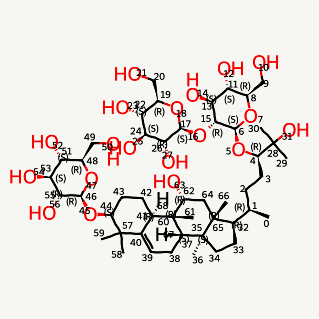 C[C@H](CC[C@@H](O[C@@H]1O[C@H](CO)[C@@H](O)[C@H](O)[C@H]1O[C@@H]1O[C@H](CO)[C@@H](O)[C@H](O)[C@H]1O)C(C)(C)O)[C@H]1CC[C@@]2(C)[C@@H]3CC=C4[C@@H](CC[C@H](O[C@@H]5O[C@H](CO)[C@@H](O)[C@H](O)[C@H]5O)C4(C)C)[C@]3(C)[C@H](O)C[C@]12C